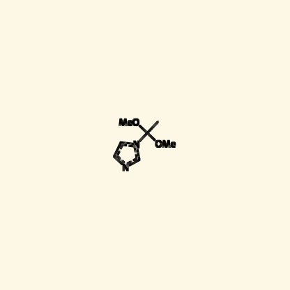 COC(C)(OC)n1ccnc1